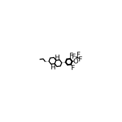 CCC[C@@H]1CC[C@@H]2C[C@H](c3cc(F)c(OC(F)(F)F)c(F)c3)CC[C@@H]2C1